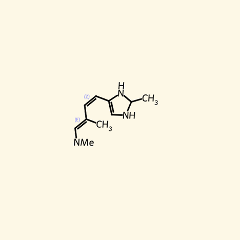 CN/C=C(C)/C=C\C1=CNC(C)N1